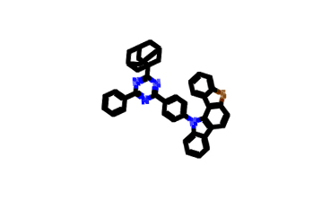 c1ccc(-c2nc(-c3ccc(-n4c5ccccc5c5ccc6sc7ccccc7c6c54)cc3)nc(C34CC5CC(CC(C5)C3)C4)n2)cc1